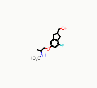 CC(COc1cc(F)c2c(c1)CC(CO)C2)NC(=O)O